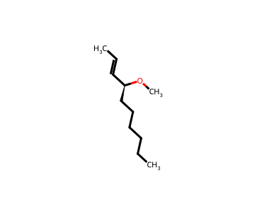 C/C=C/[C@H](CCCCCC)OC